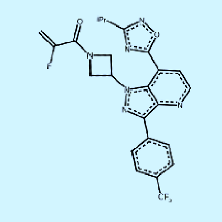 C=C(F)C(=O)N1CC(n2nc(-c3ccc(C(F)(F)F)cc3)c3nccc(-c4nc(C(C)C)no4)c32)C1